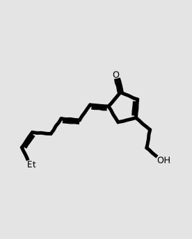 CC/C=C\C/C=C/C=C1\CC(CCO)=CC1=O